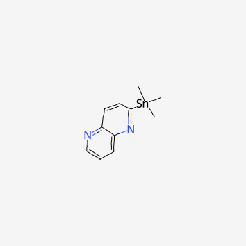 [CH3][Sn]([CH3])([CH3])[c]1ccc2ncccc2n1